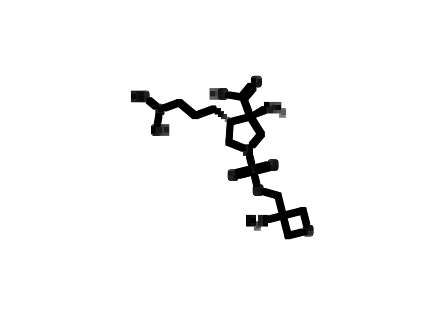 NC1(COS(=O)(=O)N2C[C@H](CCCB(O)O)[C@](N)(C(=O)O)C2)COC1